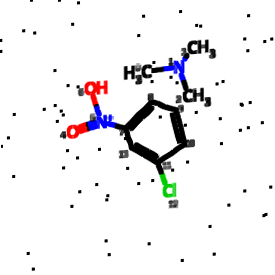 CN(C)C.O=[N+](O)c1cccc(Cl)c1